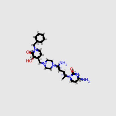 C/C(=C\C=C(/N)N1CCN(Cc2ccn(Cc3ccccc3)c(=O)c2O)CC1)n1ccc(N)nc1=O